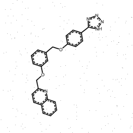 c1cc(COc2ccc(-c3nnn[nH]3)cc2)cc(OCc2ccc3ccccc3n2)c1